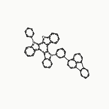 c1ccc(-n2c3ccccc3c3c4c5ccccc5n(-c5cccc(-c6ccc7c8c(cccc68)-c6ccccc6-7)c5)c4c4c5ccccc5oc4c32)cc1